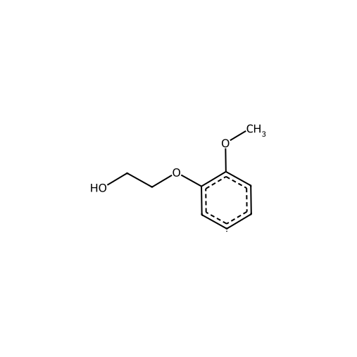 COc1cc[c]cc1OCCO